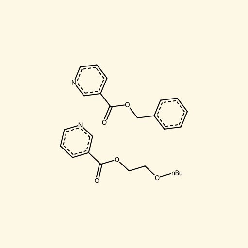 CCCCOCCOC(=O)c1cccnc1.O=C(OCc1ccccc1)c1cccnc1